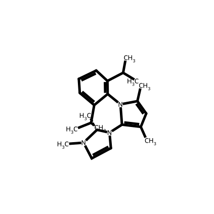 Cc1cc(C)n(-c2c(C(C)C)cccc2C(C)C)c1N1C=CN(C)[C@@H]1C